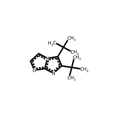 CC(C)(C)c1nc2occn2c1C(C)(C)C